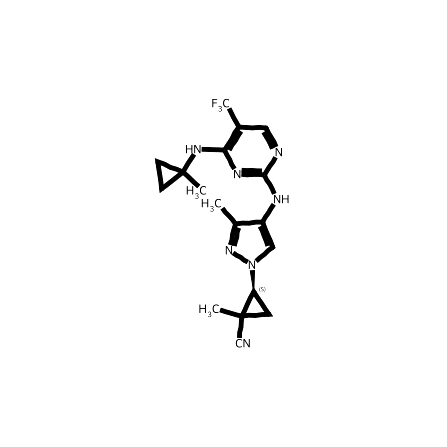 Cc1nn([C@H]2CC2(C)C#N)cc1Nc1ncc(C(F)(F)F)c(NC2(C)CC2)n1